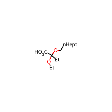 CCCCCCCCOC(CC)(OCC)C(=O)O